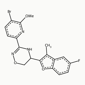 COc1nc(C2=NOCC(c3oc4ccc(F)cc4c3C)N2)ccc1Br